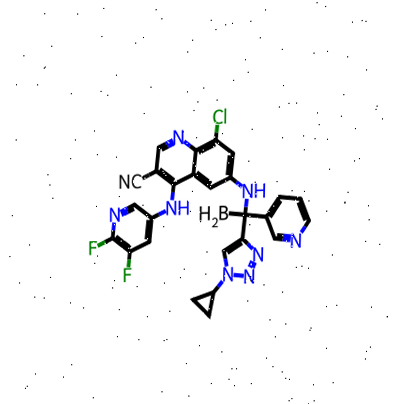 BC(Nc1cc(Cl)c2ncc(C#N)c(Nc3cnc(F)c(F)c3)c2c1)(c1cccnc1)c1cn(C2CC2)nn1